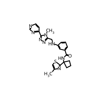 Cc1csc(C2(NC(=O)c3cccc(NCc4nnc(-c5ccncn5)n4C)c3)CCC2)n1